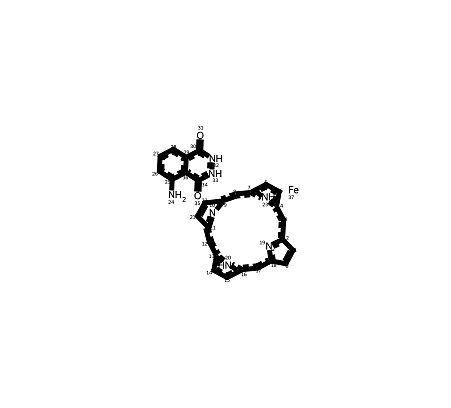 C1=Cc2cc3ccc(cc4nc(cc5ccc(cc1n2)[nH]5)C=C4)[nH]3.Nc1cccc2c(=O)[nH][nH]c(=O)c12.[Fe]